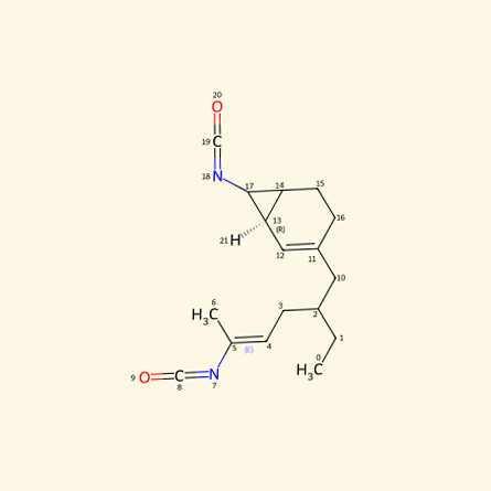 CCC(C/C=C(\C)N=C=O)CC1=C[C@@H]2C(CC1)C2N=C=O